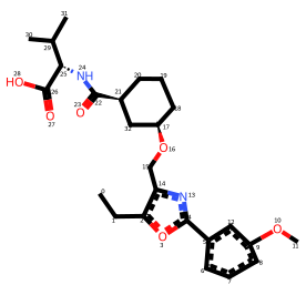 CCc1oc(-c2cccc(OC)c2)nc1CO[C@@H]1CCC[C@H](C(=O)N[C@H](C(=O)O)C(C)C)C1